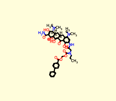 CCCN(CC(=O)Nc1cc(N(C)C)c2c(c1O)C(=O)C1=C(O)[C@]3(O)C(=O)C(C(N)=O)=C(O)[C@@H](N(C)C)[C@@H]3C[C@@H]1C2)C(=O)OCOC(=O)c1ccc(-c2ccccc2)cc1